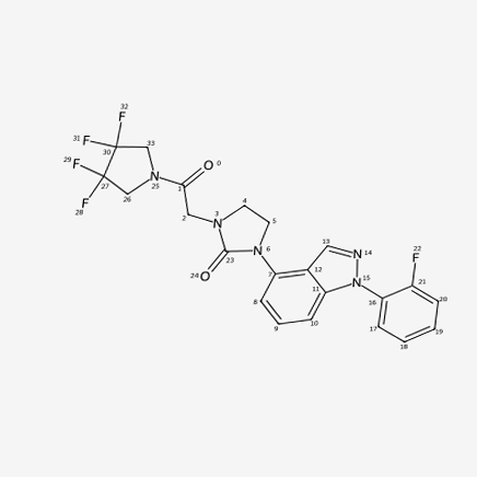 O=C(CN1CCN(c2cccc3c2cnn3-c2ccccc2F)C1=O)N1CC(F)(F)C(F)(F)C1